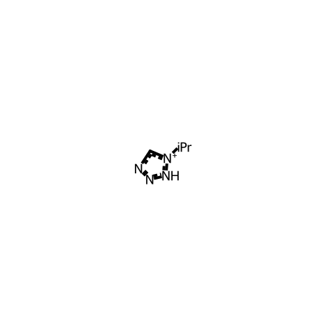 CC(C)[n+]1cnn[nH]1